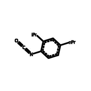 CCCc1ccc(N=C=O)c(C(C)C)c1